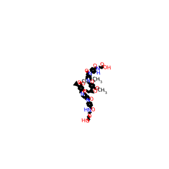 CCOc1cc(C(=O)OC)c(C2CC2CCOc2cc(C(=O)OC)c(C3CC3)cc2CN2CCC3(CC2)CC(=O)N(c2ccc(C(=O)NCCOCCO)cc2)C3)cc1CN1CCC2(CC1)CC(=O)N(c1ccc(C(=O)NCCC(=O)O)cc1)C2